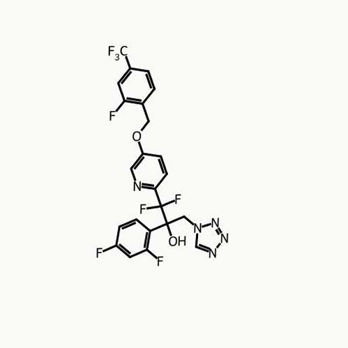 OC(Cn1cnnn1)(c1ccc(F)cc1F)C(F)(F)c1ccc(OCc2ccc(C(F)(F)F)cc2F)cn1